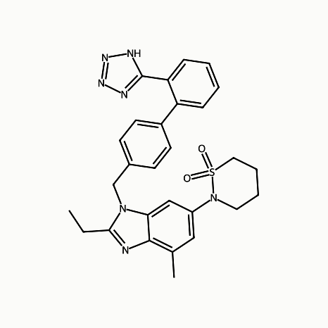 CCc1nc2c(C)cc(N3CCCCS3(=O)=O)cc2n1Cc1ccc(-c2ccccc2-c2nnn[nH]2)cc1